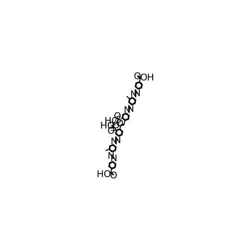 Cc1cc(N=Nc2ccc(C=Cc3ccc(N=Nc4ccc(N=Nc5ccc(C(=O)O)cc5)c(C)c4)cc3S(=O)(=O)O)c(S(=O)(=O)O)c2)ccc1N=Nc1ccc(C(=O)O)cc1